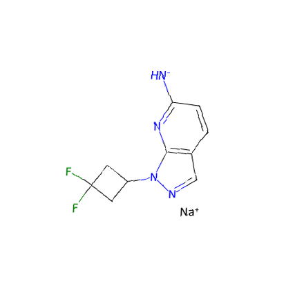 [NH-]c1ccc2cnn(C3CC(F)(F)C3)c2n1.[Na+]